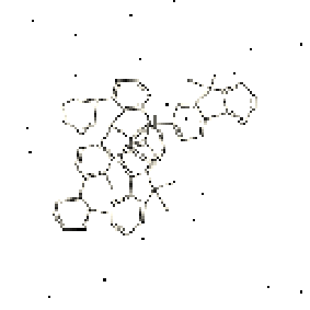 Cc1ccccc1-c1ccc2c(c1C)-c1ccccc1C21c2ccccc2-c2cccc(N(c3ccc4c(c3)C(C)(C)c3ccccc3-4)c3ccc4c(c3)C(C)(C)c3ccccc3-4)c21